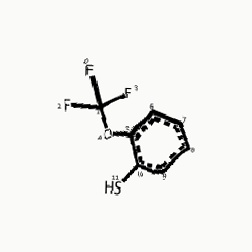 FC(F)(F)Oc1ccccc1S